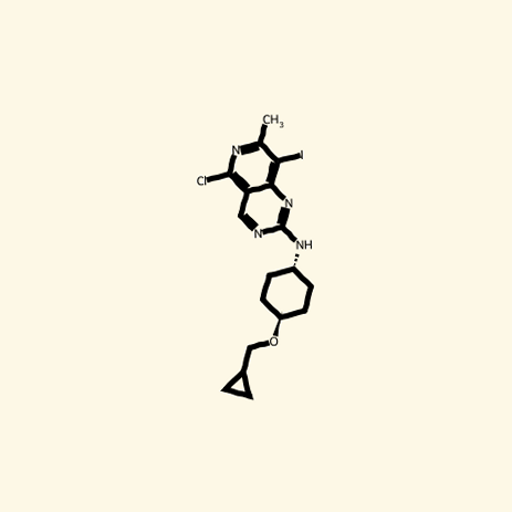 Cc1nc(Cl)c2cnc(N[C@H]3CC[C@H](OCC4CC4)CC3)nc2c1I